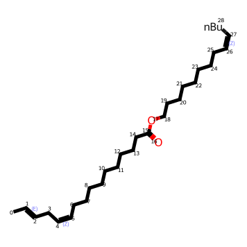 C/C=C/C/C=C\CCCCCCCCCC(=O)OCCCCCCCC/C=C\CCCC